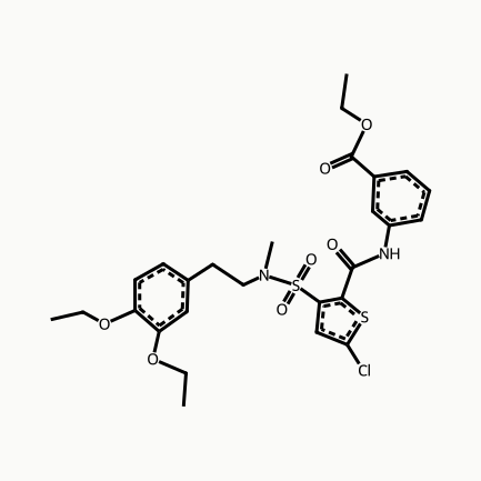 CCOC(=O)c1cccc(NC(=O)c2sc(Cl)cc2S(=O)(=O)N(C)CCc2ccc(OCC)c(OCC)c2)c1